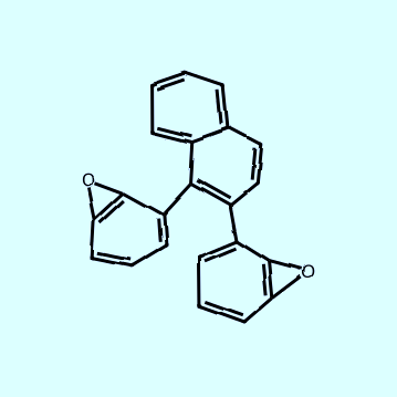 c1cc2c(c(-c3ccc4ccccc4c3-c3cccc4c3O4)c1)O2